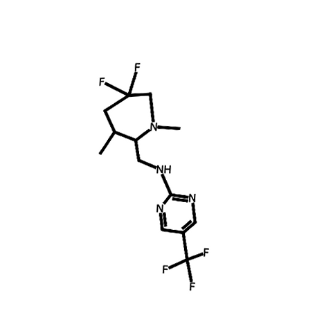 CC1CC(F)(F)CN(C)C1CNc1ncc(C(F)(F)F)cn1